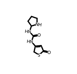 O=C(NC1=CC(=O)SC1)NC1CCCN1